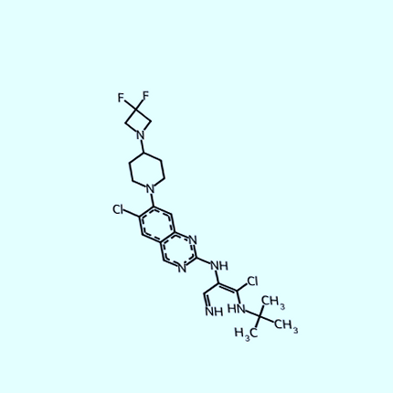 CC(C)(C)N/C(Cl)=C(\C=N)Nc1ncc2cc(Cl)c(N3CCC(N4CC(F)(F)C4)CC3)cc2n1